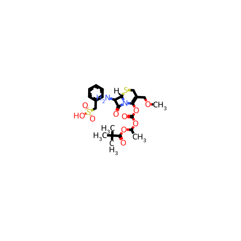 COCC1=C(OC(=O)OC(C)OC(=O)C(C)(C)C)N2C(=O)C(N)[C@@H]2SC1.O=S(=O)(O)Cc1ccccc1